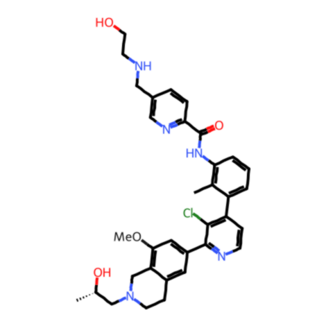 COc1cc(-c2nccc(-c3cccc(NC(=O)c4ccc(CNCCO)cn4)c3C)c2Cl)cc2c1CN(C[C@H](C)O)CC2